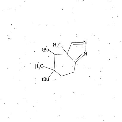 CC(C)(C)C1C2(C)C=NN=C2CCC1(C)C(C)(C)C